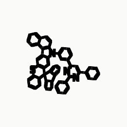 c1ccc(-c2cc(-c3cccc(-n4c5cc6c(cc5c5c7ccccc7ccc54)Sc4ccccc4C64c5ccccc5-c5ccccc54)c3)nc(-c3ccccc3)n2)cc1